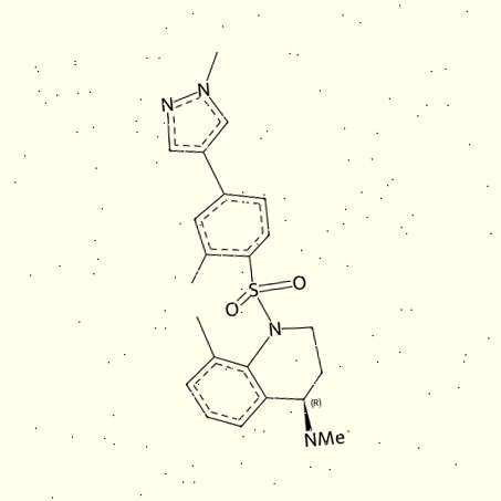 CN[C@@H]1CCN(S(=O)(=O)c2ccc(-c3cnn(C)c3)cc2C)c2c(C)cccc21